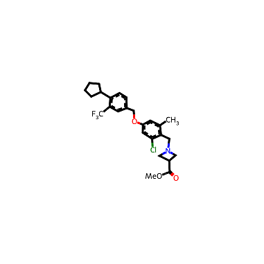 COC(=O)C1CN(Cc2c(C)cc(OCc3ccc(C4CCCC4)c(C(F)(F)F)c3)cc2Cl)C1